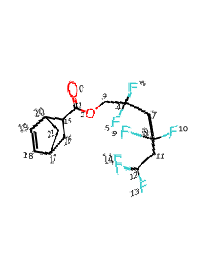 O=C(OCC(F)(F)CC(F)(F)CC(F)F)C1CC2C=CC1C2